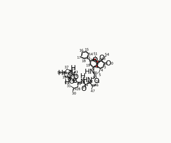 COc1cc(C[C@@H](Nc2cccc(-c3ccccc3)c2)C(=O)N[C@H](C(=O)N[C@@H](CC(C)C)B2O[C@@H]3C[C@@H]4C[C@@H](C4(C)C)[C@]3(C)O2)C(C)C)cc(OC)c1OC